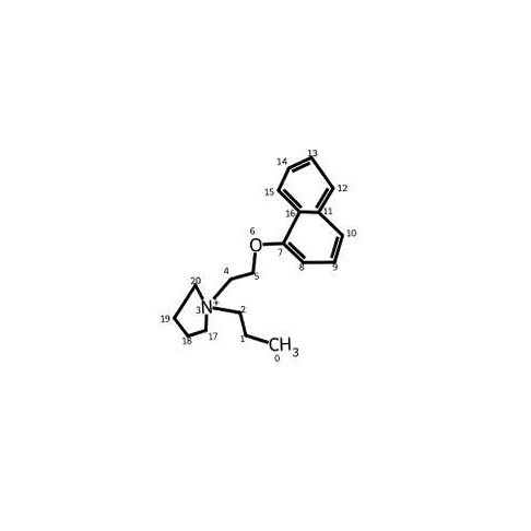 CCC[N+]1(CCOc2cccc3ccccc23)CCCC1